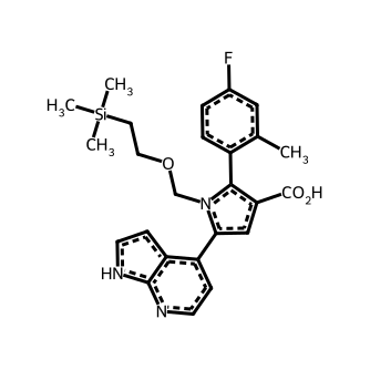 Cc1cc(F)ccc1-c1c(C(=O)O)cc(-c2ccnc3[nH]ccc23)n1COCC[Si](C)(C)C